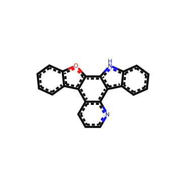 c1ccc2c(c1)[nH]c1c3oc4ccccc4c3c3cccnc3c21